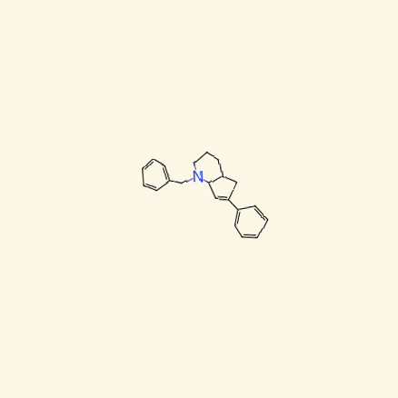 C1=C(c2ccccc2)CC2CCCN(Cc3ccccc3)C12